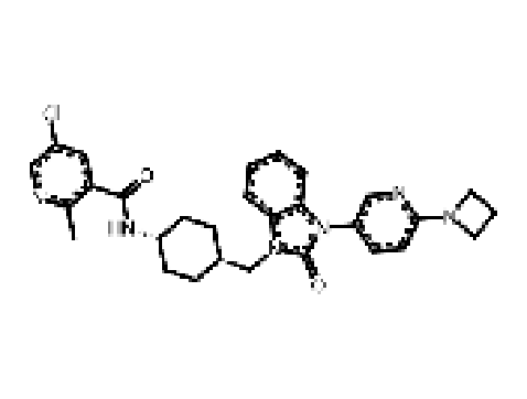 Cc1ncc(Cl)cc1C(=O)N[C@H]1CC[C@H](Cn2c(=O)n(-c3ccc(N4CCC4)nc3)c3ccccc32)CC1